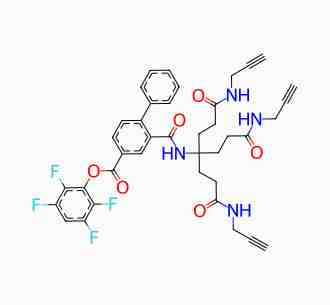 C#CCNC(=O)CCC(CCC(=O)NCC#C)(CCC(=O)NCC#C)NC(=O)c1cc(C(=O)Oc2c(F)c(F)cc(F)c2F)ccc1-c1ccccc1